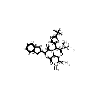 CC(C)CC1C(=O)NC(C2Cc3ccccc3C2)C(=O)N1C(C(=O)N(C)C)c1cnc(C(F)(F)F)s1